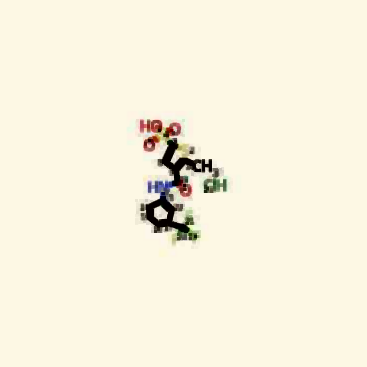 Cc1sc(S(=O)(=O)O)cc1C(=O)Nc1cccc(C(F)(F)F)c1.Cl